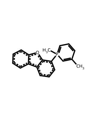 CC1=CP(C)(c2cccc3c2oc2ccccc23)=CC=C1